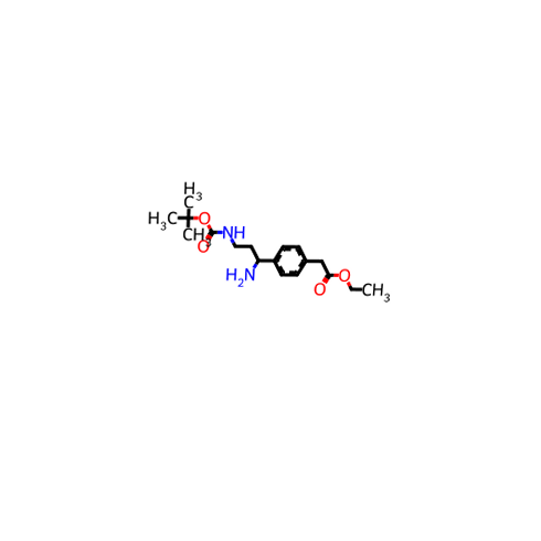 CCOC(=O)Cc1ccc(C(N)CCNC(=O)OC(C)(C)C)cc1